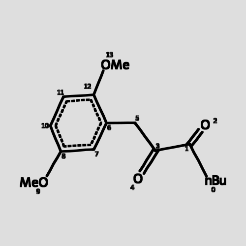 [CH2]CCCC(=O)C(=O)Cc1cc(OC)ccc1OC